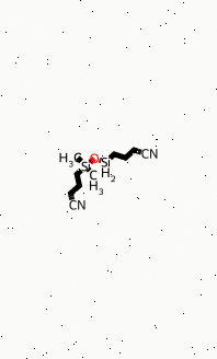 C[Si](C)(CCCC#N)O[SiH2]CCCC#N